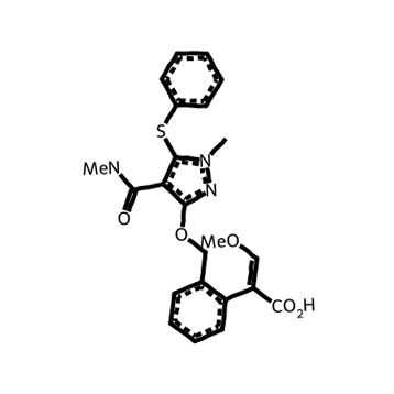 CNC(=O)c1c(OCc2ccccc2/C(=C\OC)C(=O)O)nn(C)c1Sc1ccccc1